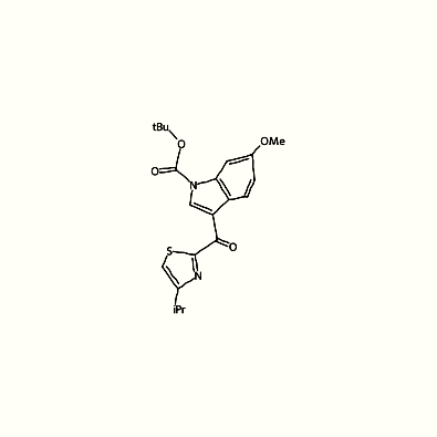 COc1ccc2c(C(=O)c3nc(C(C)C)cs3)cn(C(=O)OC(C)(C)C)c2c1